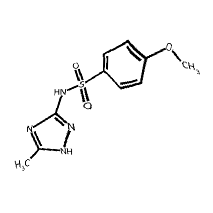 COc1ccc(S(=O)(=O)Nc2n[nH]c(C)n2)cc1